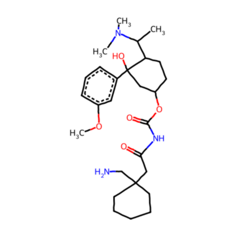 COc1cccc(C2(O)CC(OC(=O)NC(=O)CC3(CN)CCCCC3)CCC2C(C)N(C)C)c1